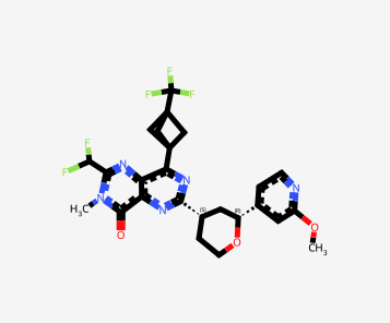 COc1cc([C@H]2C[C@@H](c3nc(C45CC(C(F)(F)F)(C4)C5)c4nc(C(F)F)n(C)c(=O)c4n3)CCO2)ccn1